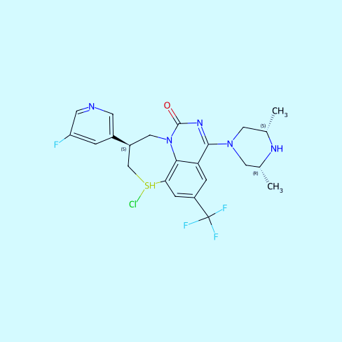 C[C@@H]1CN(c2nc(=O)n3c4c(cc(C(F)(F)F)cc24)[SH](Cl)C[C@@H](c2cncc(F)c2)C3)C[C@H](C)N1